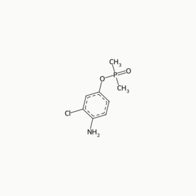 CP(C)(=O)Oc1ccc(N)c(Cl)c1